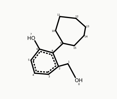 OCc1cccc(O)c1C1CCCCCC1